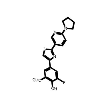 O=Cc1cc(-c2csc(-c3ccc(N4CCCC4)nc3)n2)cc(F)c1O